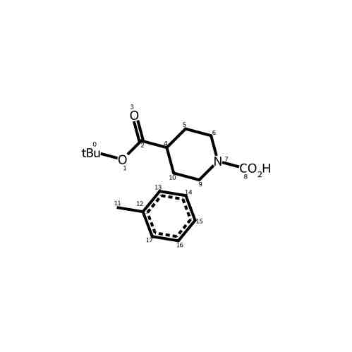 CC(C)(C)OC(=O)C1CCN(C(=O)O)CC1.Cc1ccccc1